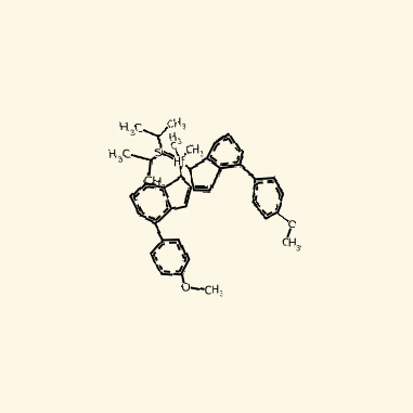 COc1ccc(-c2cccc3c2C=C[CH]3[Hf]([CH3])([CH3])([CH]2C=Cc3c(-c4ccc(OC)cc4)cccc32)=[Si](C(C)C)C(C)C)cc1